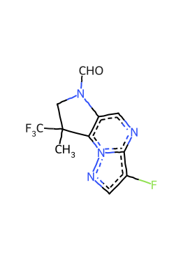 CC1(C(F)(F)F)CN(C=O)c2cnc3c(F)cnn3c21